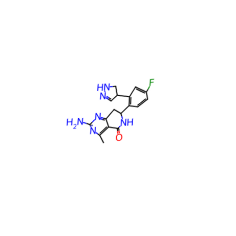 Cc1nc(N)nc2c1C(=O)NC(c1ccc(F)cc1C1C=NNC1)C2